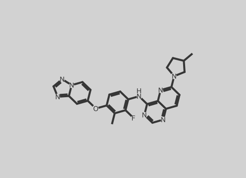 Cc1c(Oc2ccn3ncnc3c2)ccc(Nc2ncnc3ccc(N4CCC(C)C4)nc23)c1F